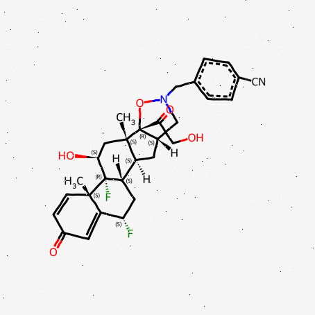 C[C@]12C=CC(=O)C=C1[C@@H](F)C[C@H]1[C@@H]3C[C@H]4CN(Cc5ccc(C#N)cc5)O[C@@]4(C(=O)CO)[C@@]3(C)C[C@H](O)[C@@]12F